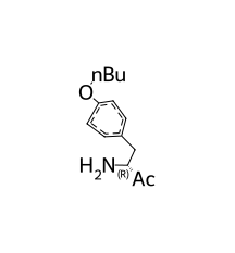 CCCCOc1ccc(C[C@@H](N)C(C)=O)cc1